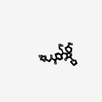 CC(C)(C)CC[C@H](c1ccc(C(=O)NCc2nn[nH]n2)cc1)N1C(=O)C(N2CCCC2)=NC12CCC(C(C)(C)C)CC2